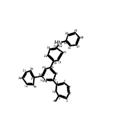 CC1=CC=CC=C(c2cc(-c3ccc(Nc4ccccc4)cc3)cc(-c3ccccc3)n2)C1